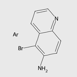 Nc1ccc2ncccc2c1Br.[Ar]